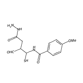 COc1ccc(C(=O)NC(S)C(C=O)CC(=O)NN)cc1